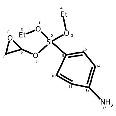 CCO[Si](OCC)(OC1CO1)c1ccc(N)cc1